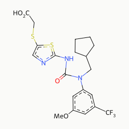 COc1cc(N(CC2CCCC2)C(=O)Nc2ncc(SCC(=O)O)s2)cc(C(F)(F)F)c1